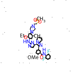 CCOc1cc(N2CCN(CCS(C)(=O)=O)CC2)c(C)cc1Nc1nccc(-c2c(-c3ccc(OC)c(C(=O)Nc4c(F)cccc4F)c3)nc3ccccn23)n1